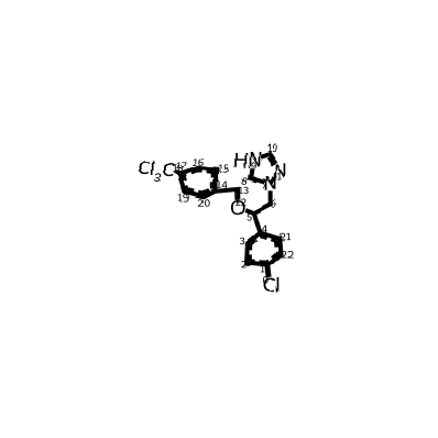 Clc1ccc(C(CN2CNC=N2)OCc2ccc(C(Cl)(Cl)Cl)cc2)cc1